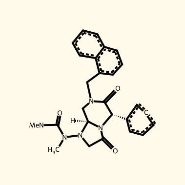 CNC(=O)N(C)N1CC(=O)N2[C@@H](c3ccccc3)C(=O)N(Cc3cccc4ccccc34)C[C@@H]21